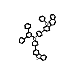 c1ccc(-c2cc(-c3ccccc3)cc(N(c3ccc(-c4ccc5sc6ccccc6c5c4)cc3)c3ccc(-c4ccc5c6ccc7ccccc7c6n(-c6ccccc6)c5c4)cc3)c2)cc1